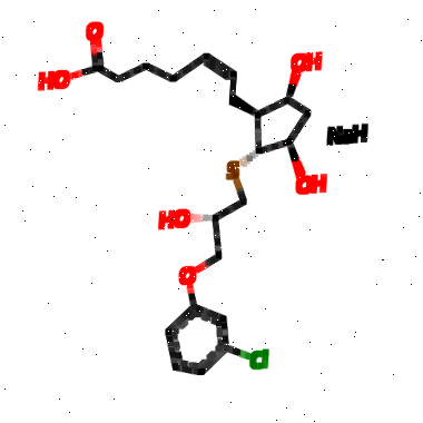 O=C(O)CCC/C=C\C[C@@H]1[C@@H](SC[C@@H](O)COc2cccc(Cl)c2)[C@H](O)C[C@@H]1O.[NaH]